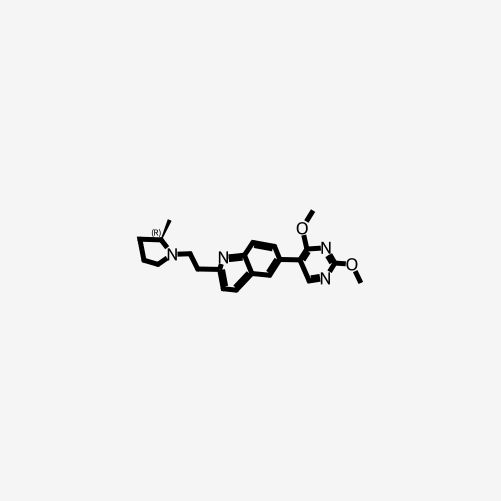 COc1ncc(-c2ccc3nc(CCN4CCC[C@H]4C)ccc3c2)c(OC)n1